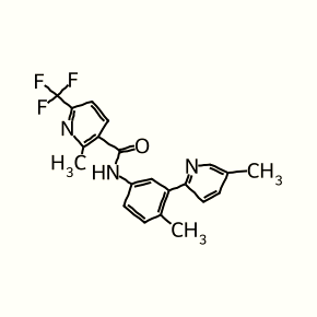 Cc1ccc(-c2cc(NC(=O)c3ccc(C(F)(F)F)nc3C)ccc2C)nc1